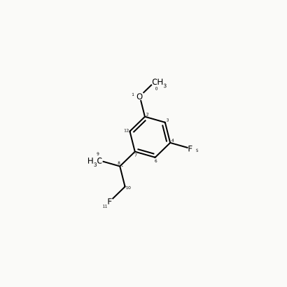 COc1cc(F)cc([C](C)CF)c1